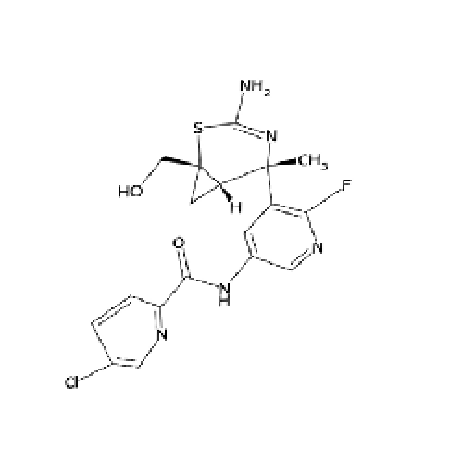 C[C@]1(c2cc(NC(=O)c3ccc(Cl)cn3)cnc2F)N=C(N)S[C@@]2(CO)C[C@H]21